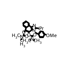 COc1ccc(Cn2c(C(C)C)nc3c4ccccc4c(OC(=O)N(C)C)c(OC(=O)N(C)C)c32)cc1